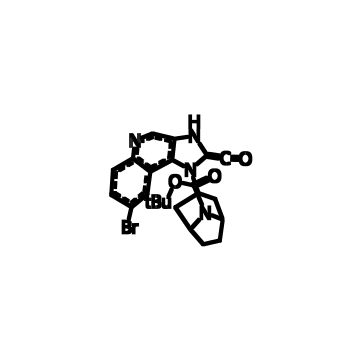 CC(C)(C)OC(=O)N1C2CCC1CC(N1C(=C=O)Nc3cnc4ccc(Br)cc4c31)C2